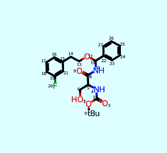 CC(C)(C)OC(=O)NC(CO)C(=O)NC(OCCc1cccc(F)c1)c1ccccc1